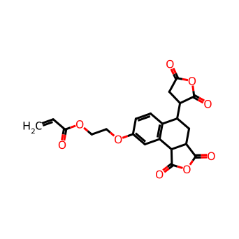 C=CC(=O)OCCOc1ccc2c(c1)C1C(=O)OC(=O)C1CC2C1CC(=O)OC1=O